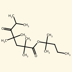 CCCC(C)(C)OC(=O)C(C)(C)CC(C)(C)C(=O)C(C)C